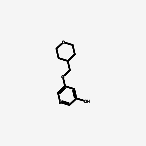 Oc1cncc(OCC2CCOCC2)c1